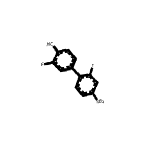 CCCCc1ccc(-c2ccc(C#N)c(F)c2)c(F)c1